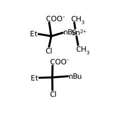 CCCCC(Cl)(CC)C(=O)[O-].CCCCC(Cl)(CC)C(=O)[O-].[CH3][Sn+2][CH3]